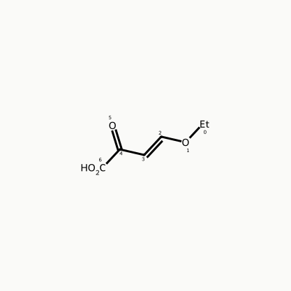 CCOC=CC(=O)C(=O)O